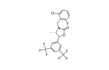 C[C@H]1C(c2cc(C(F)(F)F)cc(C(F)(F)F)c2)OC(=O)N1Cc1c(F)cccc1Cl